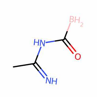 BC(=O)NC(C)=N